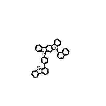 c1ccc2c(-n3c4ccccc4c4cc5c6ccccc6n(-c6ccc(-c7cccc8c7sc7ccccc78)cc6)c5cc43)cccc2c1